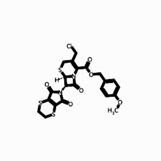 COc1ccc(COC(=O)C2=C(CCl)CS[C@@H]3[C@H](N4C(=O)C5=C(SCCS5)C4=O)C(=O)N23)cc1